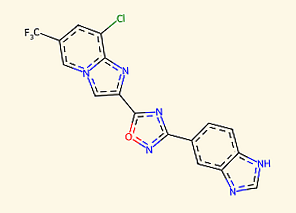 FC(F)(F)c1cc(Cl)c2nc(-c3nc(-c4ccc5[nH]cnc5c4)no3)cn2c1